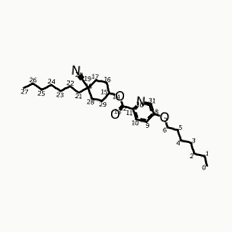 CCCCCCCOc1ccc(C(=O)OC2CCC(C#N)(CCCCCCC)CC2)nc1